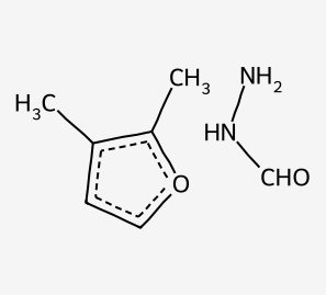 Cc1ccoc1C.NNC=O